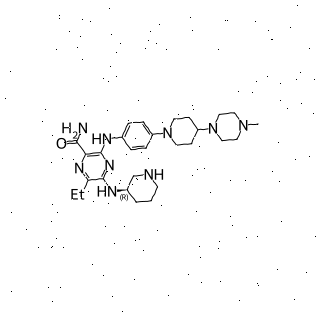 CCc1nc(C(N)=O)c(Nc2ccc(N3CCC(N4CCN(C)CC4)CC3)cc2)nc1N[C@@H]1CCCNC1